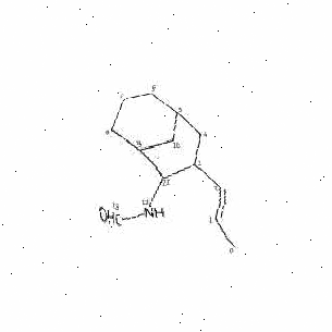 CC=CC1CC2CCCC(C2)C1NC=O